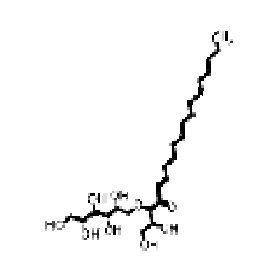 CCCCCCCCCCCCCC=CC(=O)C(OC[C@@H](O)[C@@H](O)[C@H](O)[C@H](O)CO)C(O)CO